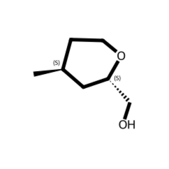 C[C@H]1CCO[C@H](CO)C1